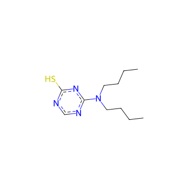 CCCCN(CCCC)c1ncnc(S)n1